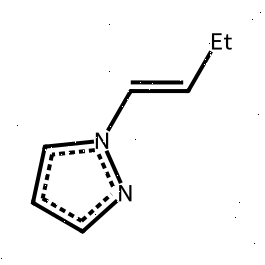 CCC=Cn1cccn1